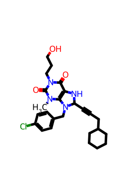 Cn1c2c(c(=O)n(CCCO)c1=O)NC(C#CCC1CCCCC1)N2Cc1ccc(Cl)cc1